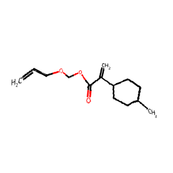 C=CCOCOC(=O)C(=C)C1CCC(C)CC1